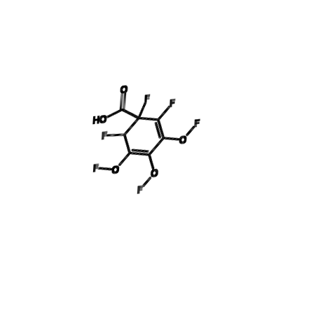 O=C(O)C1(F)C(F)=C(OF)C(OF)=C(OF)C1F